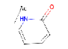 CC(C)=O.O=c1cccc[nH]1